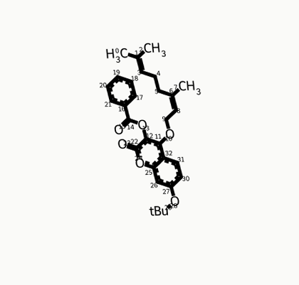 CC(C)=CCCC(C)=CCOc1c(OC(=O)c2ccccc2)c(=O)oc2cc(OC(C)(C)C)ccc12